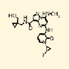 CNc1cc(Nc2cccn([C@@H]3C[C@H]3F)c2=O)nc2c(C(=O)NCC3(CO)CC3)cnn12